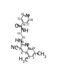 Cc1cc(C)c2cc(C#N)c(NCCNC(=O)c3ccncc3)nc2c1